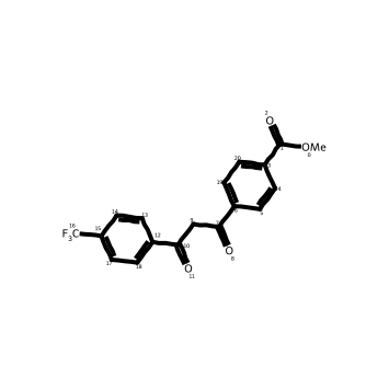 COC(=O)c1ccc(C(=O)CC(=O)c2ccc(C(F)(F)F)cc2)cc1